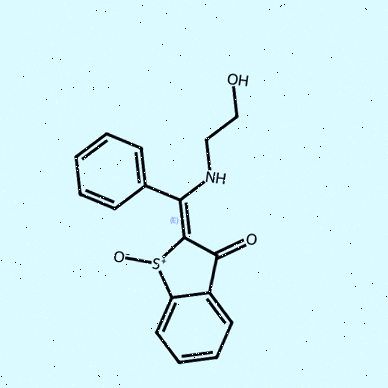 O=C1/C(=C(\NCCO)c2ccccc2)[S+]([O-])c2ccccc21